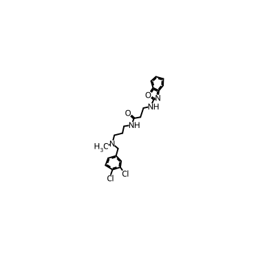 CN(CCCNC(=O)CCNc1nc2ccccc2o1)Cc1ccc(Cl)c(Cl)c1